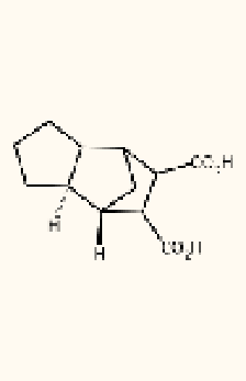 O=C(O)C1C2C[C@H](C1C(=O)O)[C@H]1CCCC21